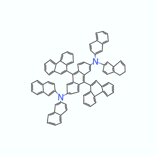 C1=Cc2cc(N(c3ccc4ccccc4c3)c3ccc4c(-c5cc6ccccc6c6ccccc56)c5cc(N(c6ccc7ccccc7c6)c6ccc7ccccc7c6)ccc5c(-c5cc6ccccc6c6ccccc56)c4c3)ccc2CC1